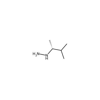 CC(C)[C@@H](C)NN